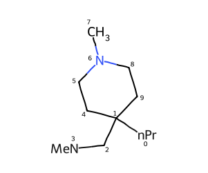 CCCC1(CNC)CCN(C)CC1